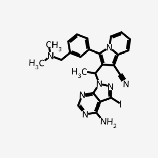 CC(c1c(C#N)c2ccccn2c1-c1cccc(CN(C)C)c1)n1nc(I)c2c(N)ncnc21